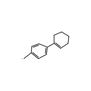 [CH2]c1ccc(C2=CCCCC2)cc1